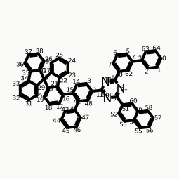 c1ccc(-c2cccc(-c3nc(-c4ccc(-c5cccc6c5-c5ccccc5C65c6ccccc6-c6ccccc65)c(-c5ccccc5)c4)nc(-c4ccc5ccccc5c4)n3)c2)cc1